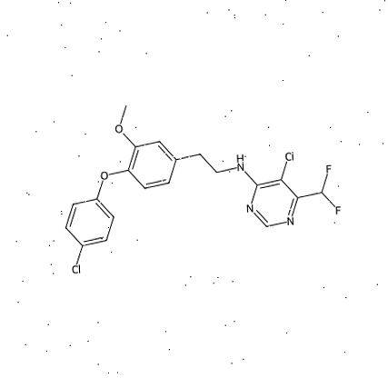 COc1cc(CCNc2ncnc(C(F)F)c2Cl)ccc1Oc1ccc(Cl)cc1